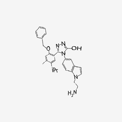 Cc1cc(OCc2ccccc2)c(-c2nnc(O)n2-c2ccc3c(ccn3CCN)c2)cc1C(C)C